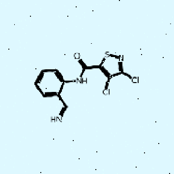 N=Cc1ccccc1NC(=O)c1snc(Cl)c1Cl